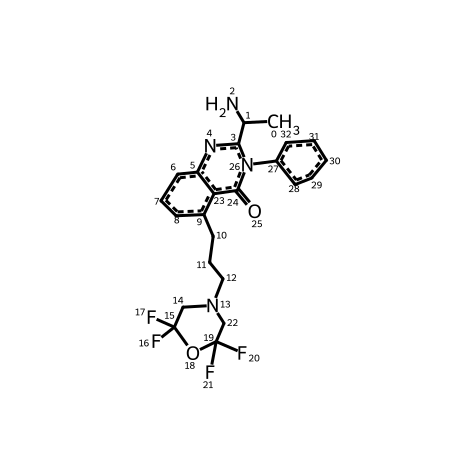 CC(N)c1nc2cccc(CCCN3CC(F)(F)OC(F)(F)C3)c2c(=O)n1-c1ccccc1